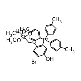 CO[Si](COc1ccc(O)cc1[P+](c1ccc(C)cc1)(c1ccc(C)cc1)c1ccc(C)cc1)(OC)OC.[Br-]